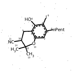 CCCCCc1cc2c(c(O)c1I)CC(C#N)C(C)(C)O2